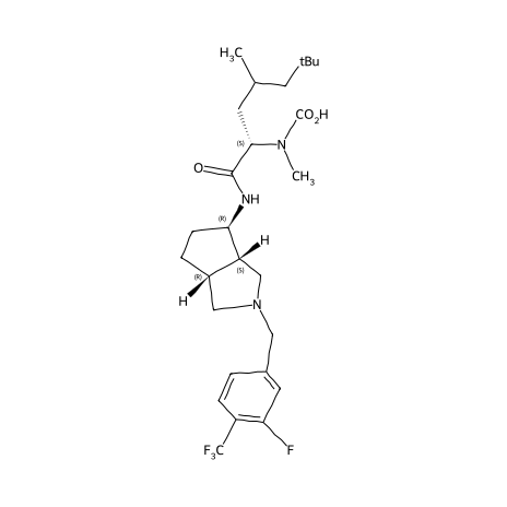 CC(C[C@@H](C(=O)N[C@@H]1CC[C@H]2CN(Cc3ccc(C(F)(F)F)c(F)c3)C[C@H]21)N(C)C(=O)O)CC(C)(C)C